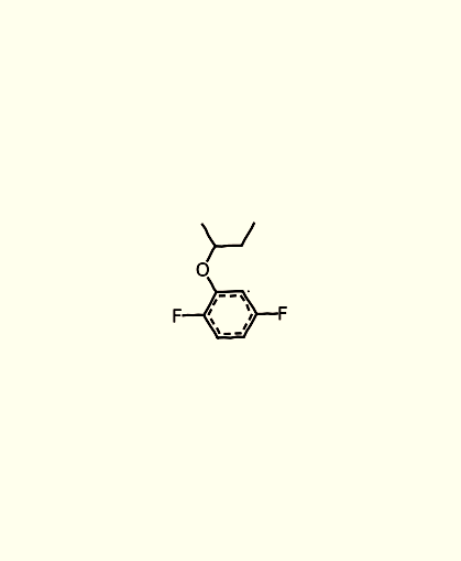 CCC(C)Oc1[c]c(F)ccc1F